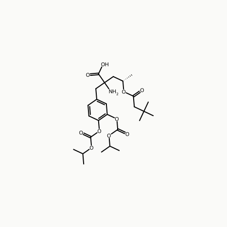 CC(C)OC(=O)Oc1ccc(CC(N)(C[C@H](C)OC(=O)CC(C)(C)C)C(=O)O)cc1OC(=O)OC(C)C